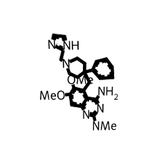 CNc1nc(N)c2c(CC3(c4ccccc4)CCN(Cc4ncc[nH]4)CC3)c(OC)c(OC)cc2n1